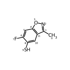 Cc1noc2cc(F)c(S)cc12